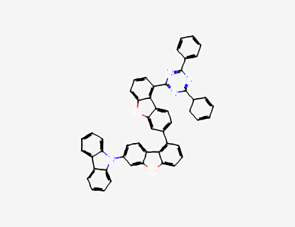 C1=CCC(c2nc(-c3ccccc3)nc(-c3cccc4oc5cc(-c6cccc7oc8cc(-n9c%10ccccc%10c%10ccccc%109)ccc8c67)ccc5c34)n2)C=C1